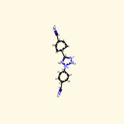 N#Cc1ccc(-c2nnn(-c3ccc(C#N)cc3)n2)cc1